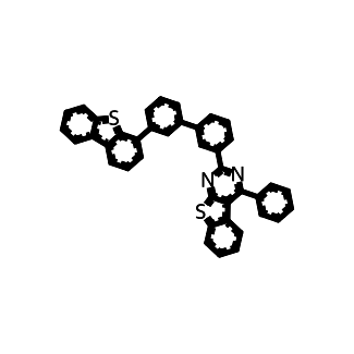 c1ccc(-c2nc(-c3cccc(-c4cccc(-c5cccc6c5sc5ccccc56)c4)c3)nc3sc4ccccc4c23)cc1